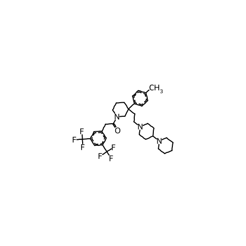 Cc1ccc(C2(CCN3CCC(N4CCCCC4)CC3)CCCN(C(=O)Cc3cc(C(F)(F)F)cc(C(F)(F)F)c3)C2)cc1